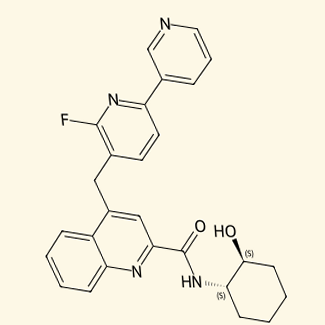 O=C(N[C@H]1CCCC[C@@H]1O)c1cc(Cc2ccc(-c3cccnc3)nc2F)c2ccccc2n1